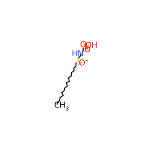 CCCCCCCCCCCCCCCCCC[S+]([O-])CCNCCS(=O)(=O)O